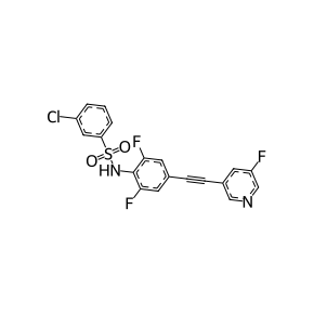 O=S(=O)(Nc1c(F)cc(C#Cc2cncc(F)c2)cc1F)c1cccc(Cl)c1